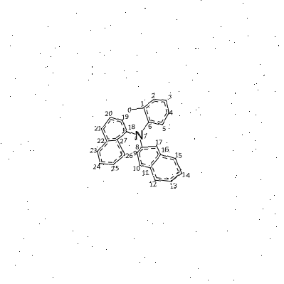 Cc1ccccc1N(c1ccc2ccccc2c1)c1cccc2ccccc12